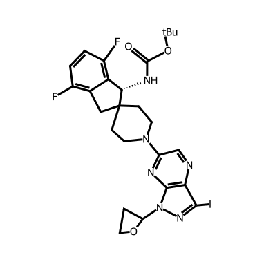 CC(C)(C)OC(=O)N[C@H]1c2c(F)ccc(F)c2CC12CCN(c1cnc3c(I)nn(C4CCO4)c3n1)CC2